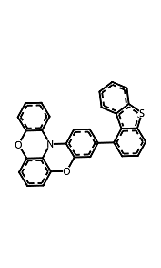 c1ccc2c(c1)Oc1cccc3c1N2c1ccc(-c2cccc4sc5ccccc5c24)cc1O3